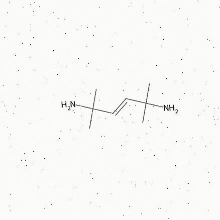 CC(C)(N)C=CC(C)(C)N